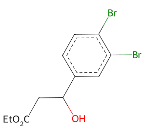 CCOC(=O)CC(O)c1ccc(Br)c(Br)c1